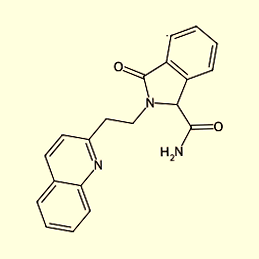 NC(=O)C1c2ccc[c]c2C(=O)N1CCc1ccc2ccccc2n1